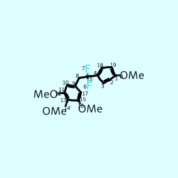 COc1ccc(C(F)(F)Cc2cc(OC)c(OC)c(OC)c2)cc1